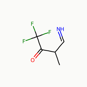 CC(C=N)C(=O)C(F)(F)F